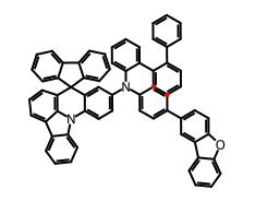 c1ccc(-c2ccccc2-c2ccccc2N(c2ccc(-c3ccc4oc5ccccc5c4c3)cc2)c2ccc3c(c2)C2(c4ccccc4-c4ccccc42)c2cccc4c5ccccc5n-3c24)cc1